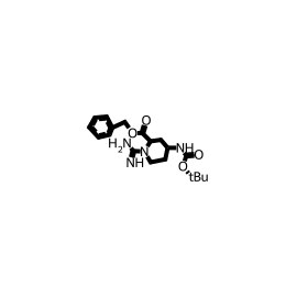 CC(C)(C)OC(=O)NC1CCN(C(=N)N)C(C(=O)OCc2ccccc2)C1